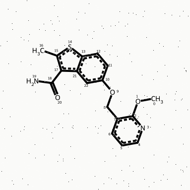 COc1ncccc1COc1ccc2sc(C)c(C(N)=O)c2c1